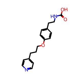 O=C(O)NCCc1ccc(OCCCc2ccncc2)cc1